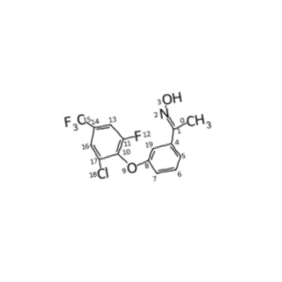 CC(=NO)c1cccc(Oc2c(F)cc(C(F)(F)F)cc2Cl)c1